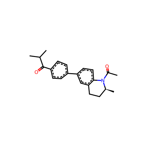 CC(=O)N1c2ccc(-c3ccc(C(=O)C(C)C)cc3)cc2CC[C@@H]1C